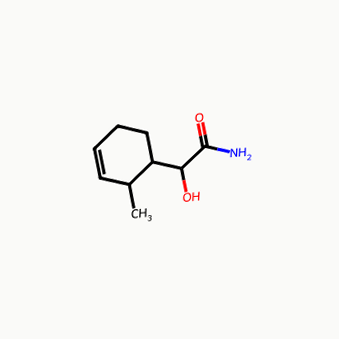 CC1C=CCCC1C(O)C(N)=O